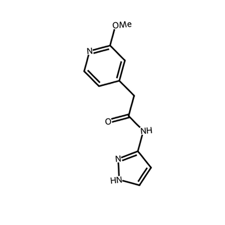 COc1cc(CC(=O)Nc2cc[nH]n2)ccn1